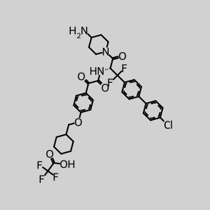 NC1CCN(C(=O)[C@@H](NC(=O)C(=O)c2ccc(OCC3CCCCC3)cc2)C(F)(F)c2ccc(-c3ccc(Cl)cc3)cc2)CC1.O=C(O)C(F)(F)F